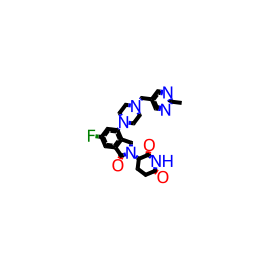 Cc1ncc(CN2CCN(c3cc(F)cc4c3CN(C3CCC(=O)NC3=O)C4=O)CC2)cn1